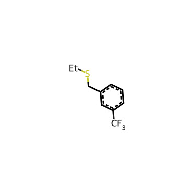 CCSCc1cccc(C(F)(F)F)c1